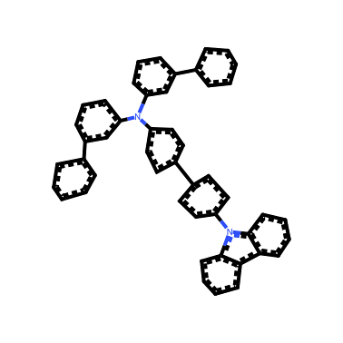 c1ccc(-c2cccc(N(c3ccc(-c4ccc(-n5c6ccccc6c6ccccc65)cc4)cc3)c3cccc(-c4ccccc4)c3)c2)cc1